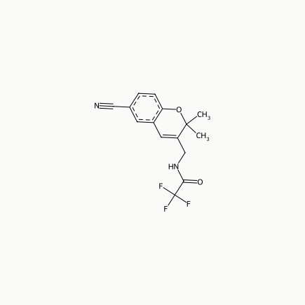 CC1(C)Oc2ccc(C#N)cc2C=C1CNC(=O)C(F)(F)F